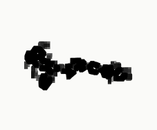 CCc1c(F)ccc2cc(O)cc(-c3ncc4c(N5CC6CCC(C5)N6)nc(OCC5(CN6CCC7(C6)CN(C6CCN(c8cc(F)c(C9CCC(=O)NC9=O)c(F)c8)CC6)C7)CC5)nc4c3F)c12